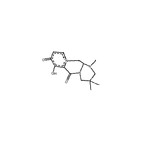 CN1CC(C)(C)CN2C(=O)c3c(O)c(=O)ccn3CC12